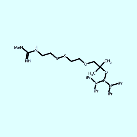 CNC(=N)NCCSSCCOCC(C)(C)OP(N(C(C)C)C(C)C)N(C(C)C)C(C)C